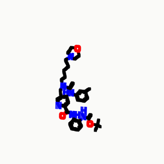 C=C(Nc1ccccc1NC(=O)c1ccc(CN(CCCCCN2CCOCC2)C(=C)Nc2cccc(C)c2)cn1)OC(C)(C)C